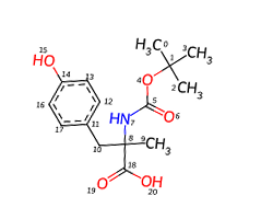 CC(C)(C)OC(=O)NC(C)(Cc1ccc(O)cc1)C(=O)O